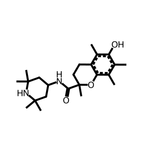 Cc1c(C)c2c(c(C)c1O)CCC(C)(C(=O)NC1CC(C)(C)NC(C)(C)C1)O2